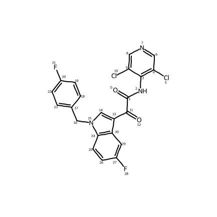 O=C(Nc1c(Cl)cncc1Cl)C(=O)c1cn(Cc2ccc(F)cc2)c2ccc(F)cc12